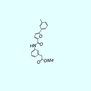 COC(=O)Cc1cccc(NC(=O)c2ccc(-c3cccc(C)c3)o2)c1